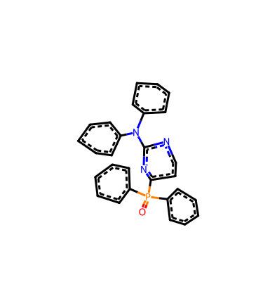 O=P(c1ccccc1)(c1ccccc1)c1ccnc(N(c2ccccc2)c2ccccc2)n1